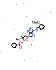 COc1ccccc1CNc1ncnc2c1ncn2[C@@H]1O[C@H](COC(=O)c2ccccc2)[C@@](C)(OC(C)=O)[C@@]1(C)F